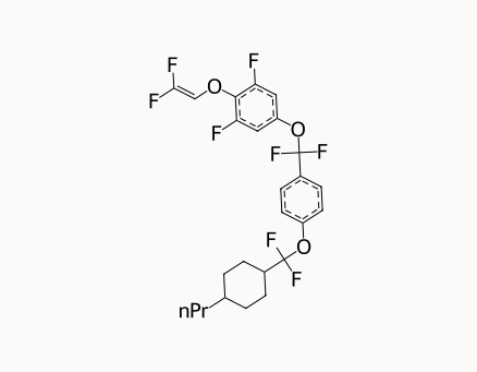 CCCC1CCC(C(F)(F)Oc2ccc(C(F)(F)Oc3cc(F)c(OC=C(F)F)c(F)c3)cc2)CC1